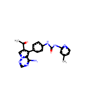 CC(=O)c1cn2ncnc(N)c2c1-c1ccc(NC(=O)Nc2cc(C)ccn2)cc1